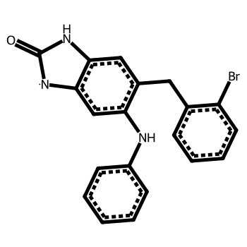 O=C1[N]c2cc(Nc3ccccc3)c(Cc3ccccc3Br)cc2N1